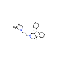 CCN(CC)CCCN1CC[C@H]2c3ccccc3[C@@H](c3ccccc3)[C@H]2C1